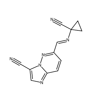 N#Cc1cnc2ccc(/C=N/C3(C#N)CC3)nn12